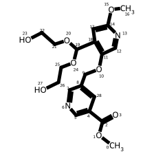 COC(=O)c1cncc(COc2cnc(OC)cc2C(OCCO)OCCO)c1